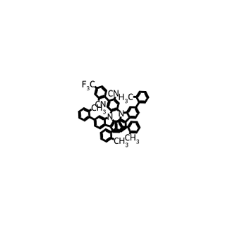 Cc1ccccc1-c1ccc2c3ccc(-c4ccccc4C)cc3n(-c3cc(C#N)c(-c4ccc(C(F)(F)F)cc4C#N)cc3-n3c4cc(-c5ccccc5C)ccc4c4ccc(-c5ccccc5C)cc43)c2c1